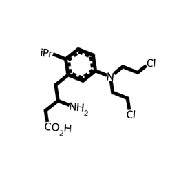 CC(C)c1ccc(N(CCCl)CCCl)cc1CC(N)CC(=O)O